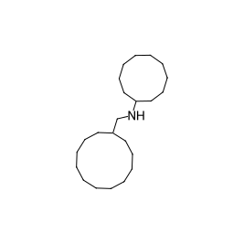 C1CCCCCC(CNC2CCCCCCCCC2)CCCCC1